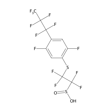 O=S(O)C(F)(F)C(F)(F)Sc1cc(F)c(C(F)(F)C(F)(F)C(F)(F)F)cc1F